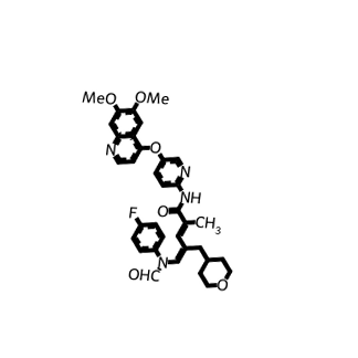 COc1cc2nccc(Oc3ccc(NC(=O)/C(C)=C/C(=C\N(C=O)c4ccc(F)cc4)CC4CCOCC4)nc3)c2cc1OC